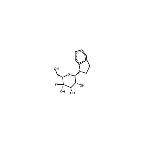 OC[C@H]1O[C@@H](N2CCc3ccccc32)[C@H](O)[C@@H](O)[C@@]1(O)F